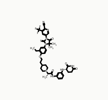 CCc1cc(N2C(=S)N(c3cnc(C#N)c(C(F)(F)F)c3)C(=O)C2(C)C)ccc1OCCC1CCN([C@@H](C)C(=O)Nc2cccc(N[C@H]3CCC(=O)NC3=O)c2)CC1